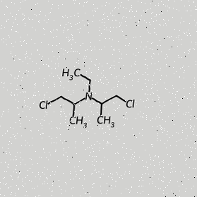 CCN(C(C)CCl)C(C)CCl